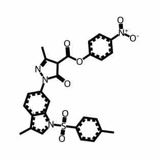 CC1=NN(c2ccc3c(C)cn(S(=O)(=O)c4ccc(C)cc4)c3c2)C(=O)C1C(=O)Oc1ccc([N+](=O)[O-])cc1